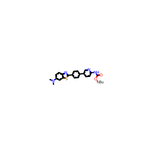 CCCCOC(=O)Nc1ccc(-c2ccc(-c3nc4ccc(N(C)C)cc4s3)cc2)cn1